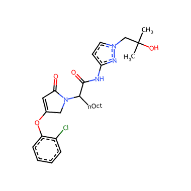 CCCCCCCCC(C(=O)Nc1ccn(CC(C)(C)O)n1)N1CC(Oc2ccccc2Cl)=CC1=O